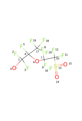 [O]C(F)(F)C(F)(OC(F)(F)C(F)(F)S(=O)(=O)F)C(F)(F)F